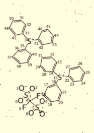 O=S(=O)([O-])C(F)(F)S(=O)(=O)[O-].c1ccc([S+](c2ccccc2)c2ccccc2)cc1.c1ccc([S+](c2ccccc2)c2ccccc2)cc1